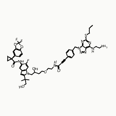 CCCSc1nc(NCCN)c2nnn(Cc3ccc(C#CC(=O)NCCOCCC(O)Cn4c(C(C)(C)CO)cc5cc(NC(=O)C6(c7ccc8c(c7)OC(F)(F)O8)CC6)c(F)cc54)cc3)c2n1